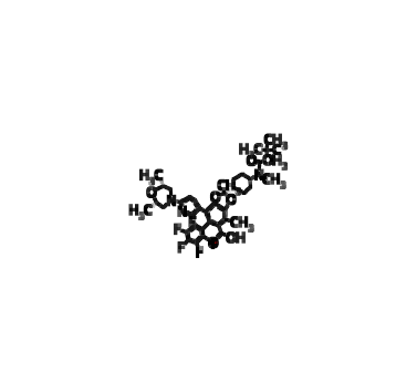 Cc1c2c(c(-c3ccc(N4C[C@@H](C)O[C@@H](C)C4)nc3)c(-c3c(F)c(F)c(F)c(F)c3F)c1C(=O)O)OC(C)([C@H]1CC[C@H](N(C)C(=O)OC(C)(C)C)CC1)O2